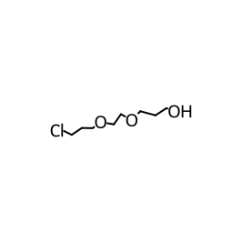 OCCCOCCOCCCCl